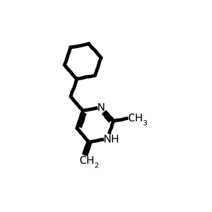 C=C1C=C(CC2CCCCC2)N=C(C)N1